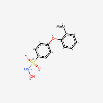 COc1ccccc1Oc1ccc(S(=O)(=O)NO)cc1